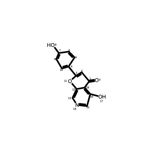 O=c1cc(-c2ccc(O)cc2)oc2cncc(O)c12